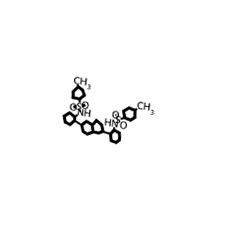 Cc1ccc(S(=O)(=O)Nc2ccccc2-c2ccc3cc(-c4ccccc4NS(=O)(=O)c4ccc(C)cc4)ccc3c2)cc1